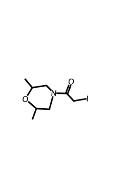 CC1CN(C(=O)CI)CC(C)O1